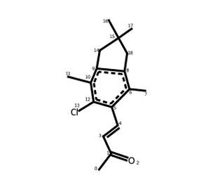 CC(=O)/C=C/c1c(C)c2c(c(C)c1Cl)CC(C)(C)C2